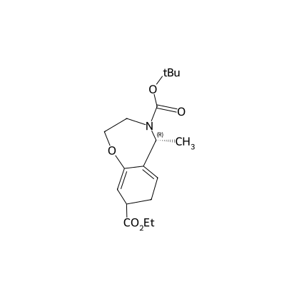 CCOC(=O)C1C=C2OCCN(C(=O)OC(C)(C)C)[C@H](C)C2=CC1